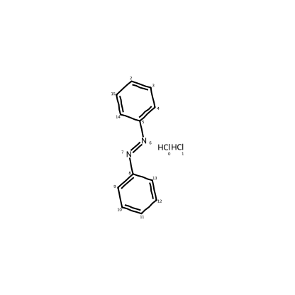 Cl.Cl.c1ccc(N=Nc2ccccc2)cc1